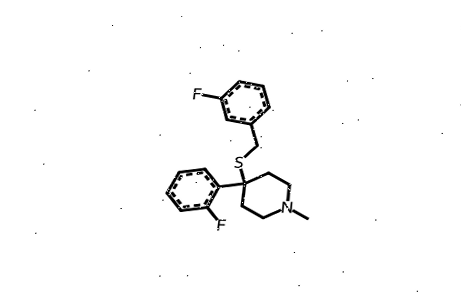 CN1CCC(SCc2cccc(F)c2)(c2ccccc2F)CC1